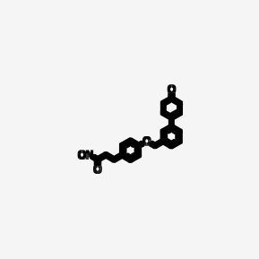 O=NC(=O)CCc1ccc(OCc2cccc(C3=CCC(=O)CC3)c2)cc1